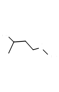 CC(C)(C)C(CCOC=O)C(C)(C)C